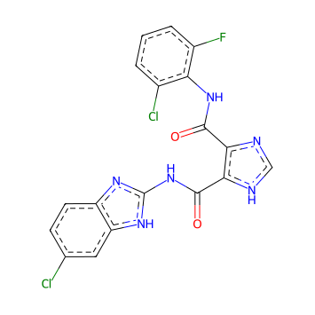 O=C(Nc1c(F)cccc1Cl)c1nc[nH]c1C(=O)Nc1nc2ccc(Cl)cc2[nH]1